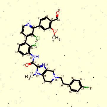 COc1cc(-c2nccc(-c3cccc(NC(=O)c4nc5c(n4C)CCN(CCc4ccc(F)cc4)C5)c3Cl)c2Cl)ccc1C=O